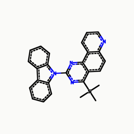 C[Si](C)(C)c1nc(-n2c3ccccc3c3ccccc32)nc2c1ccc1ncccc12